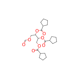 O=COCC(OC(=O)C1CCCC1)C(COC(=O)C1CCCC1)OC(=O)C1CCCC1